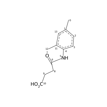 Cc1ccc(NC(=O)CCC(=O)O)c(C)c1